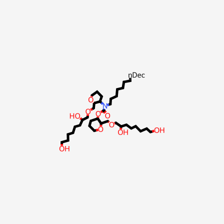 CCCCCCCCCCCCCCCCCN(C(=O)OC1CCCOC1COCC(O)CCCCCCO)C1CCCOC1COCC(O)CCCCCCO